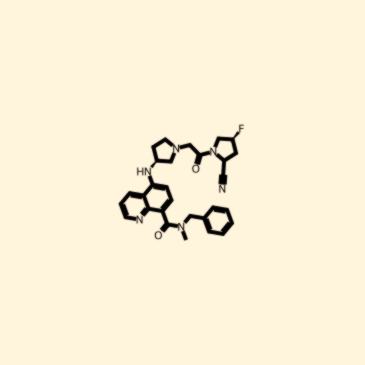 CN(Cc1ccccc1)C(=O)c1ccc(N[C@H]2CCN(CC(=O)N3C[C@@H](F)CC3C#N)C2)c2cccnc12